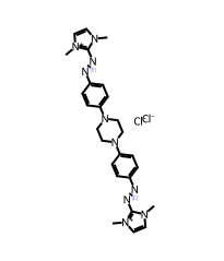 Cn1cc[n+](C)c1/N=N/c1ccc(N2CCN(c3ccc(/N=N/c4n(C)cc[n+]4C)cc3)CC2)cc1.[Cl-].[Cl-]